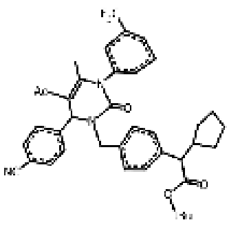 CC(=O)C1=C(C)N(c2cccc(C(F)(F)F)c2)C(=O)N(Cc2ccc(C(C(=O)OC(C)(C)C)C3CCCC3)cc2)C1c1ccc(C#N)cc1